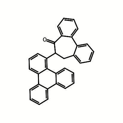 O=C1c2ccccc2-c2ccccc2CC1c1cccc2c3ccccc3c3ccccc3c12